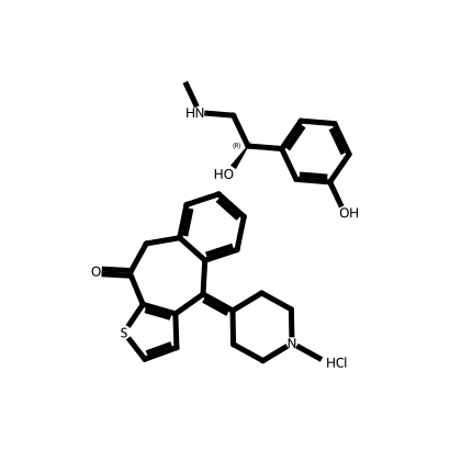 CN1CCC(=C2c3ccccc3CC(=O)c3sccc32)CC1.CNC[C@H](O)c1cccc(O)c1.Cl